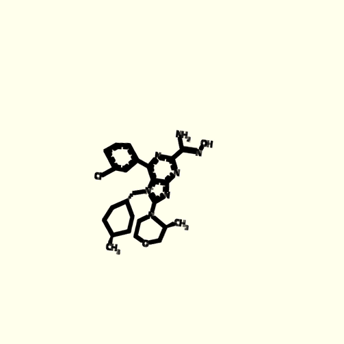 C[C@H]1COCCN1c1nc2nc(/C(N)=N/O)nc(-c3cccc(Cl)c3)c2n1C[C@H]1CC[C@H](C)CC1